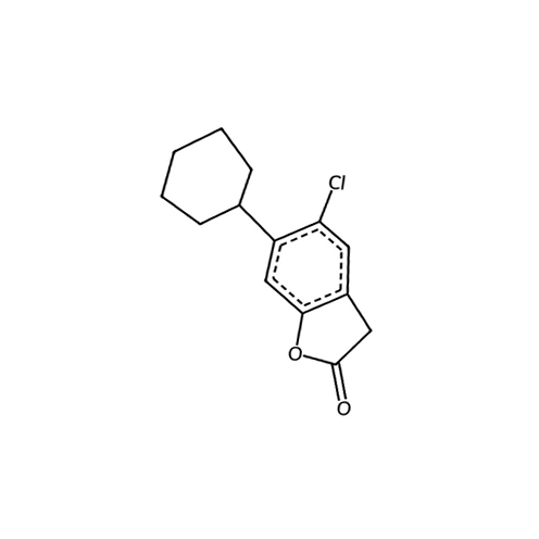 O=C1Cc2cc(Cl)c(C3CCCCC3)cc2O1